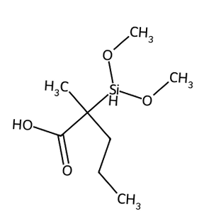 CCCC(C)(C(=O)O)[SiH](OC)OC